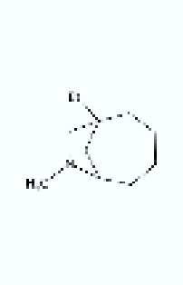 CCC12CCCCC(C1)N(C)C2